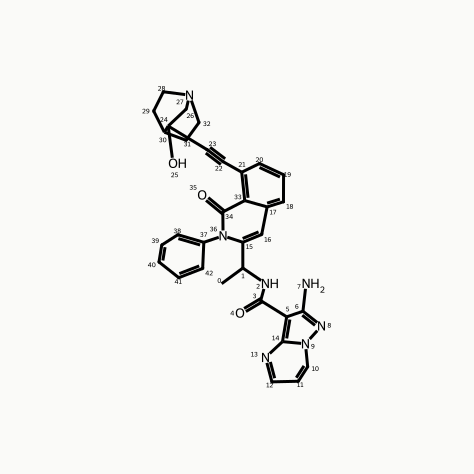 CC(NC(=O)c1c(N)nn2cccnc12)c1cc2cccc(C#CC3(O)CN4CCC3CC4)c2c(=O)n1-c1ccccc1